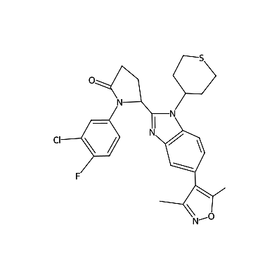 Cc1noc(C)c1-c1ccc2c(c1)nc(C1CCC(=O)N1c1ccc(F)c(Cl)c1)n2C1CCSCC1